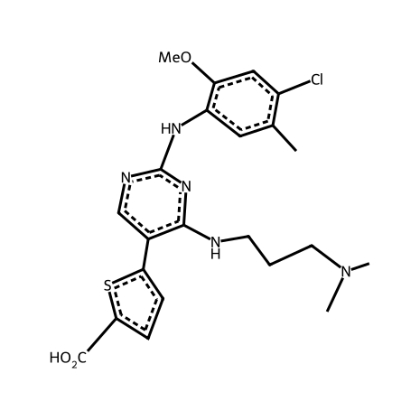 COc1cc(Cl)c(C)cc1Nc1ncc(-c2ccc(C(=O)O)s2)c(NCCCN(C)C)n1